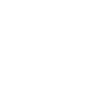 [C]#CC1=C2C=CC=CC=C2C=CC=[C]1